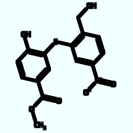 COC(=O)c1ccc(O)c(Sc2cc([N+](=O)[O-])ccc2CO)c1